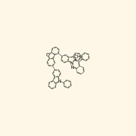 C=C/C(=C1/C=CC=C/C1=N/n1c2ccccc2c2cc(-c3cccc4oc5ccc(-c6ccc7c(c6)c6ccccc6n7-c6ccccc6)cc5c34)ccc21)c1ccccc1